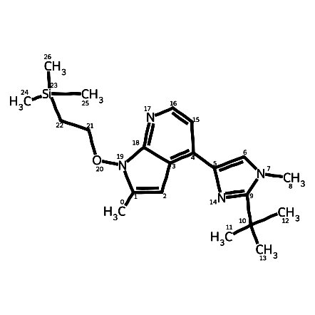 Cc1cc2c(-c3cn(C)c(C(C)(C)C)n3)ccnc2n1OCC[Si](C)(C)C